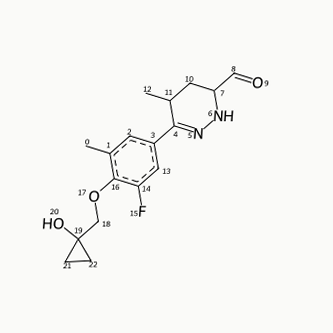 Cc1cc(C2=NNC(C=O)CC2C)cc(F)c1OCC1(O)CC1